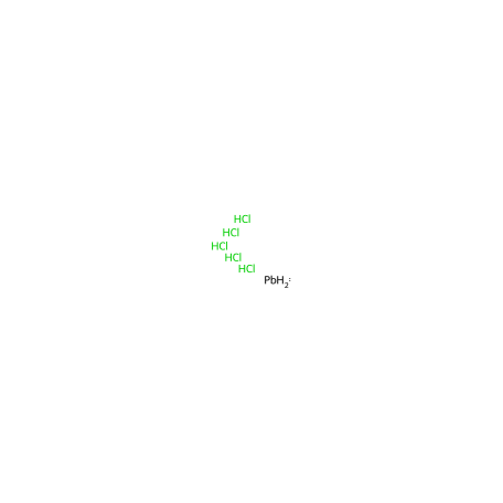 Cl.Cl.Cl.Cl.Cl.[PbH2]